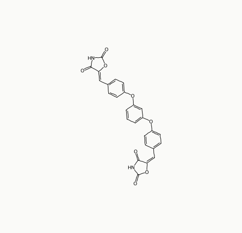 O=C1NC(=O)C(=Cc2ccc(Oc3cccc(Oc4ccc(C=C5OC(=O)NC5=O)cc4)c3)cc2)O1